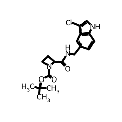 CC(C)(C)OC(=O)N1CCC1C(=O)NCc1ccc2[nH]cc(Cl)c2c1